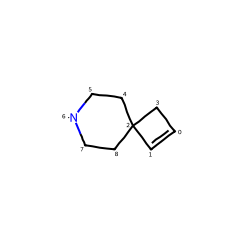 C1=CC2(C1)CC[N]CC2